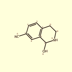 N#Cc1ccc2c(c1)C(O)NCC2